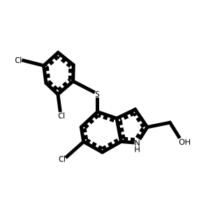 OCc1cc2c(Sc3ccc(Cl)cc3Cl)cc(Cl)cc2[nH]1